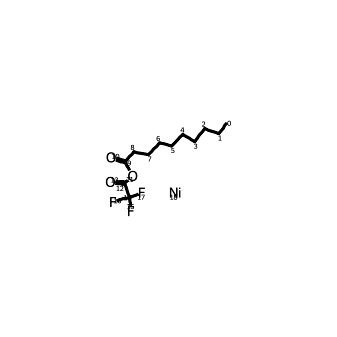 CCCCCCCCCC(=O)OC(=O)C(F)(F)F.[Ni]